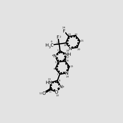 CC(F)(c1nc2cc(-c3noc(=O)[nH]3)ncc2[nH]1)c1ncccc1F